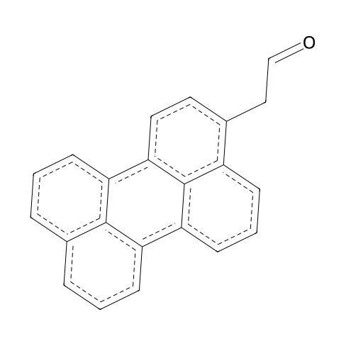 O=CCc1ccc2c3cccc4cccc(c5cccc1c52)c43